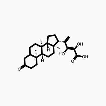 C=C(C(O)=C(O)C(=O)O)[C@H]1CC[C@H]2[C@@H]3CCC4CC(=O)CC[C@]4(C)[C@H]3CC[C@]12C